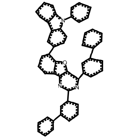 c1ccc(-c2cccc(-c3nc(-c4cccc(-c5ccccc5)c4)c4oc5c(-c6ccc7c(c6)c6ccccc6n7-c6ccccc6)cccc5c4n3)c2)cc1